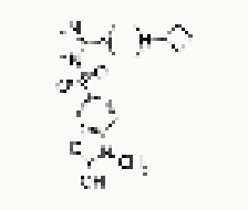 CN1c2ccc(S(=O)(=O)N3CCN=C3N3CCN(C4CCC4)CC3)cc2OC1O